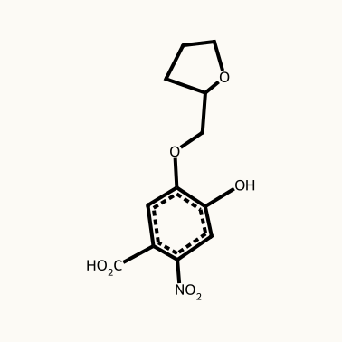 O=C(O)c1cc(OCC2CCCO2)c(O)cc1[N+](=O)[O-]